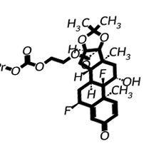 CC(C)OC(=O)OCCOC(=O)[C@@]12OC(C)(C)O[C@@H]1C[C@H]1[C@@H]3C[C@H](F)C4=CC(=O)C=C[C@]4(C)[C@@]3(F)[C@@H](O)C[C@@]12C